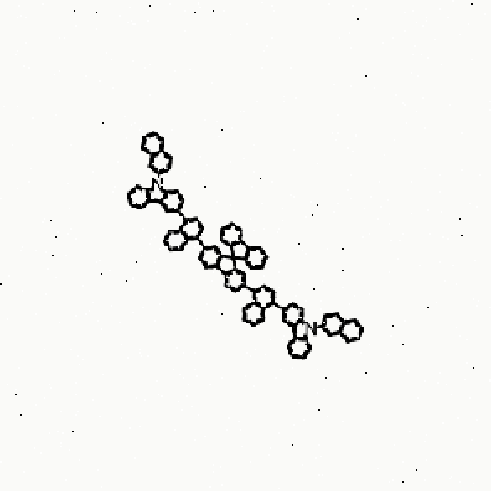 c1ccc2c(c1)-c1ccccc1C21c2cc(-c3ccc(-c4ccc5c(c4)c4ccccc4n5-c4ccc5ccccc5c4)c4ccccc34)ccc2-c2ccc(-c3ccc(-c4ccc5c(c4)c4ccccc4n5-c4ccc5ccccc5c4)c4ccccc34)cc21